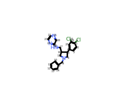 Clc1ccc(C2CN(Cc3ccccc3)CC2CNc2cnccn2)cc1Cl